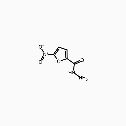 NNC(=O)c1ccc([N+](=O)[O-])o1